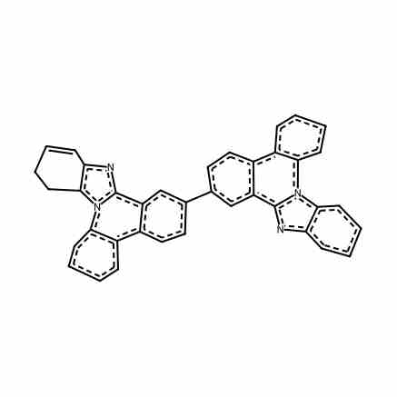 C1=Cc2nc3c4cc(-c5ccc6c7ccccc7n7c8ccccc8nc7c6c5)ccc4c4ccccc4n3c2CC1